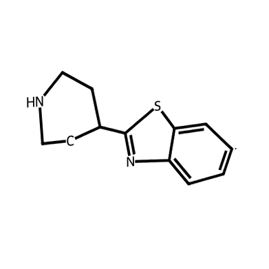 [c]1ccc2nc(C3CCNCC3)sc2c1